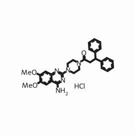 COc1cc2nc(N3CCN(C(=O)CC(c4ccccc4)c4ccccc4)CC3)nc(N)c2cc1OC.Cl